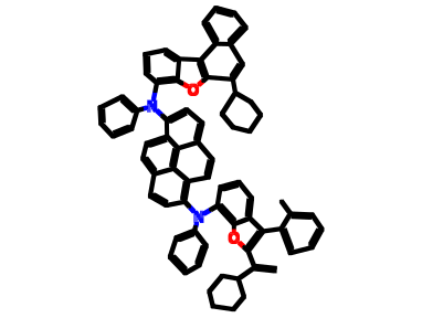 C=C(c1oc2c(N(c3ccccc3)c3ccc4ccc5c(N(c6ccccc6)c6cccc7c6oc6c(C8CCCCC8)cc8ccccc8c67)ccc6ccc3c4c65)cccc2c1-c1ccccc1C)C1CCCCC1